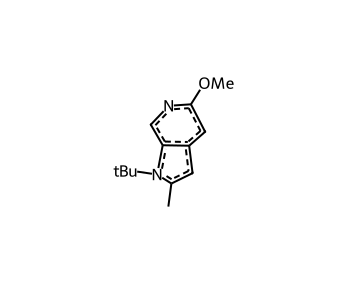 COc1cc2cc(C)n(C(C)(C)C)c2cn1